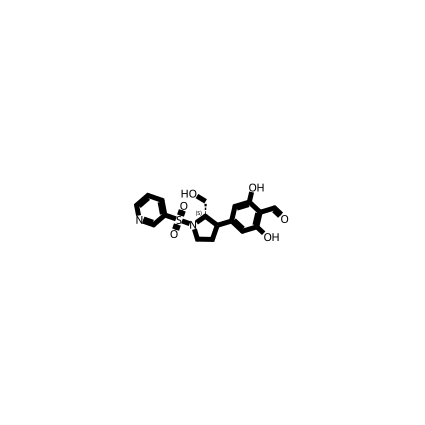 O=Cc1c(O)cc(C2CCN(S(=O)(=O)c3cccnc3)[C@@H]2CO)cc1O